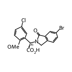 COc1ccc(Cl)cc1[C@H](C(=O)O)N1Cc2ccc(Br)cc2C1=O